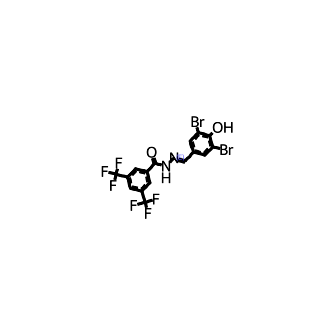 O=C(N/N=C/c1cc(Br)c(O)c(Br)c1)c1cc(C(F)(F)F)cc(C(F)(F)F)c1